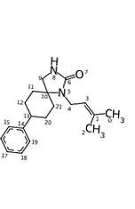 CC(C)=CCN1C(=O)NCC12CCC(c1ccccc1)CC2